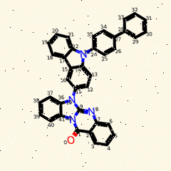 O=c1c2ccccc2nc2n(-c3ccc4c(c3)c3ccccc3n4-c3ccc(-c4ccccc4)cc3)c3ccccc3n12